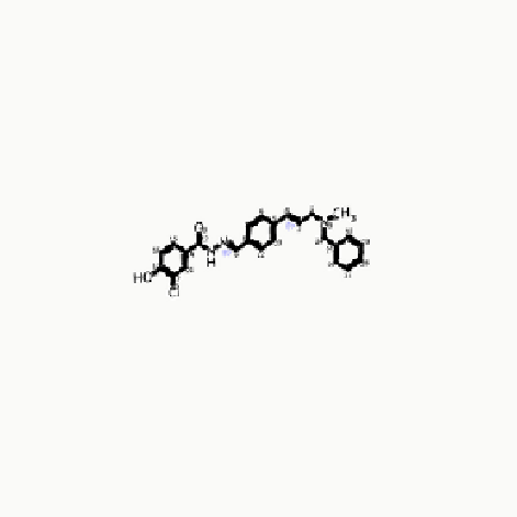 CN(C/C=C/c1ccc(/C=N/NC(=O)c2ccc(O)c(Cl)c2)cc1)Cc1ccccc1